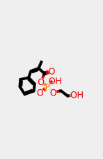 CC(=Cc1ccccc1)C(=O)OP(=O)(O)OCCO